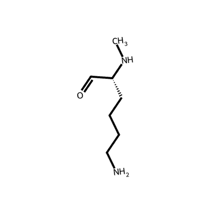 CN[C@@H](C=O)CCCCN